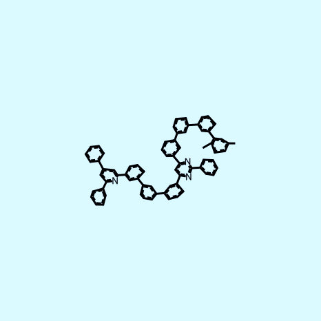 Cc1ccc(C)c(-c2cccc(-c3cccc(-c4cccc(-c5cc(-c6cccc(-c7cccc(-c8cccc(-c9cc(-c%10ccccc%10)cc(-c%10ccccc%10)n9)c8)c7)c6)nc(-c6ccccc6)n5)c4)c3)c2)c1